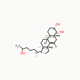 C[C@H](CCCC(O)C(F)(F)F)[C@H]1CC[C@H]2C3=C(F)C[C@H]4[C@@H](O)[C@@H](O)CC[C@]4(C)[C@H]3CC[C@]12C